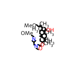 COCC[C@@H](C)[C@H]1C[C@H](O)[C@@]2(C)C3CC[C@H]4C(C)(C)[C@@H](O[C@H]5CN(CC6CN(CCOC)C6)CCO5)CC[C@@]45CC35CC[C@]12C